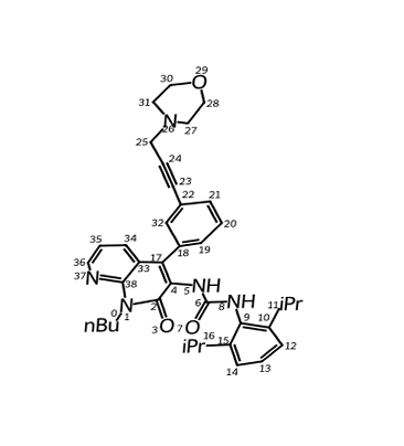 CCCCn1c(=O)c(NC(=O)Nc2c(C(C)C)cccc2C(C)C)c(-c2cccc(C#CCN3CCOCC3)c2)c2cccnc21